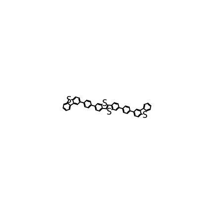 c1ccc2c(c1)sc1ccc(-c3ccc(-c4ccc5c(c4)sc4c6ccc(-c7ccc(-c8ccc9sc%10ccccc%10c9c8)cc7)cc6sc54)cc3)cc12